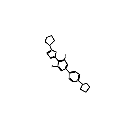 Fc1cc(-c2ccc(C3CCCC3)cc2)cc(F)c1-c1ccc(C2CCCC2)s1